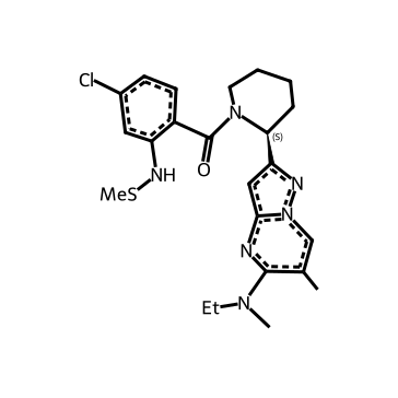 CCN(C)c1nc2cc([C@@H]3CCCCN3C(=O)c3ccc(Cl)cc3NSC)nn2cc1C